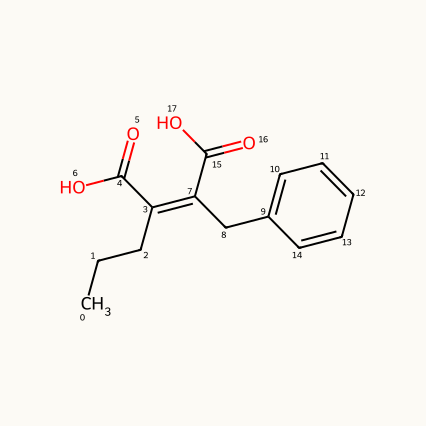 CCC/C(C(=O)O)=C(\Cc1ccccc1)C(=O)O